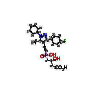 CC(C)c1c(C#CP(=O)(O)CC(O)CC(=O)O)c(-c2ccc(F)cc2)nn1-c1ccccc1